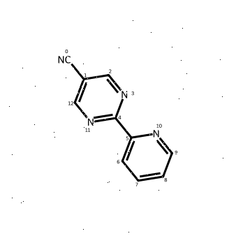 N#Cc1cnc(-c2ccccn2)nc1